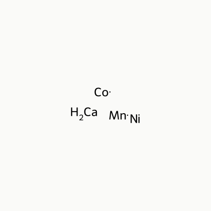 [CaH2].[Co].[Mn].[Ni]